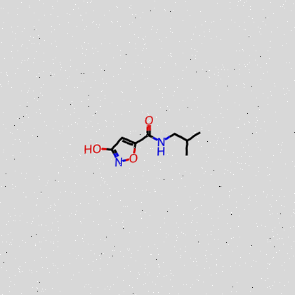 CC(C)CNC(=O)c1cc(O)no1